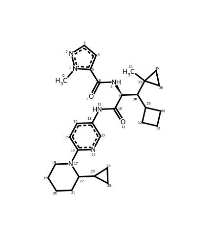 Cn1nccc1C(=O)N[C@H](C(=O)Nc1ccc(N2CCCCC2C2CC2)nc1)C(C1CCC1)C1(C)CC1